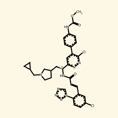 COC(=O)Nc1ccc(-c2cc([C@H](CC3CCN(CC4CC4)C3)NC(=O)C=Cc3cc(Cl)ccc3-n3cnnn3)nnc2Cl)cc1